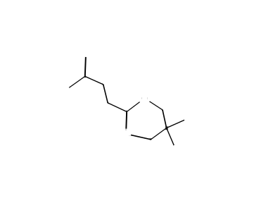 CC(C)CCC1OCC(C)(C)CO1